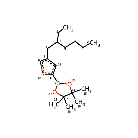 CCCCC(CC)Cc1csc(B2OC(C)(C)C(C)(C)O2)c1